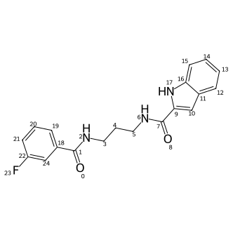 O=C(NCCCNC(=O)c1cc2ccccc2[nH]1)c1cccc(F)c1